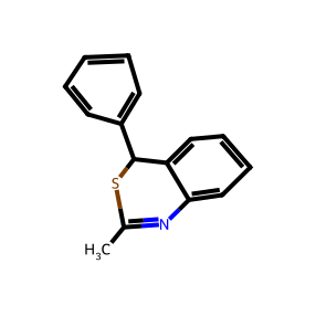 CC1=Nc2ccccc2C(c2ccccc2)S1